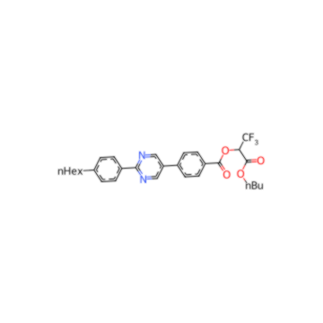 CCCCCCc1ccc(-c2ncc(-c3ccc(C(=O)OC(C(=O)OCCCC)C(F)(F)F)cc3)cn2)cc1